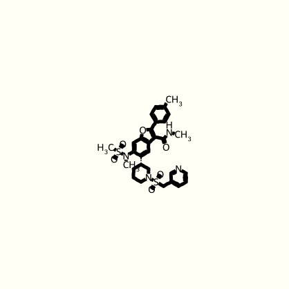 CNC(=O)c1c(-c2ccc(C)cc2)oc2cc(N(C)S(C)(=O)=O)c([C@H]3CCCN(S(=O)(=O)Cc4cccnc4)C3)cc12